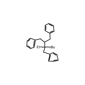 CCCCC(CC)(Cc1ccccc1)[C](Cc1ccccc1)Cc1ccccc1